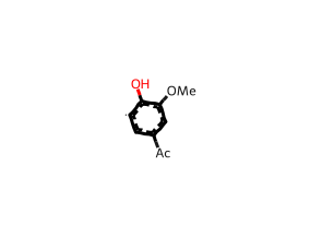 COc1cc(C(C)=O)c[c]c1O